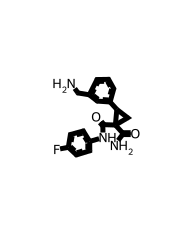 NCc1cccc(C2CC2(C(N)=O)C(=O)Nc2ccc(F)cc2)c1